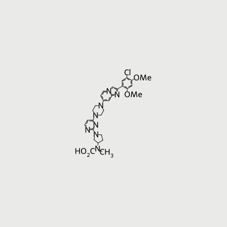 COc1cc(OC)c(-c2cn3ccc(N4CCN(c5ccnc(N6CCC(N(C)C(=O)O)C6)n5)CC4)cc3n2)cc1Cl